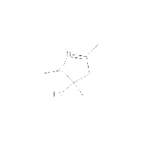 CC1=NN(C)C(C)(S)C1